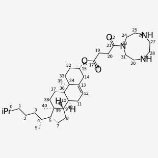 CC(C)CCC[C@@H](C)[C@H]1CC[C@H]2[C@@H]3CC=C4C[C@@H](OC(=O)CCC(=O)N5CCNCCNCC5)CC[C@]4(C)C3CC[C@]12C